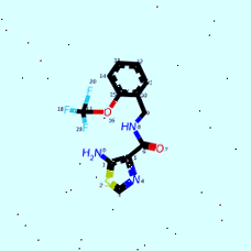 Nc1scnc1C(=O)NCc1ccccc1OC(F)(F)F